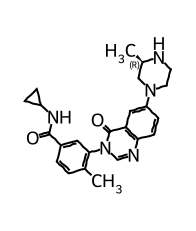 Cc1ccc(C(=O)NC2CC2)cc1-n1cnc2ccc(N3CCN[C@H](C)C3)cc2c1=O